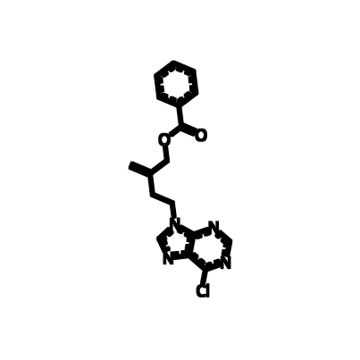 C=C(CCn1cnc2c(Cl)ncnc21)COC(=O)c1ccccc1